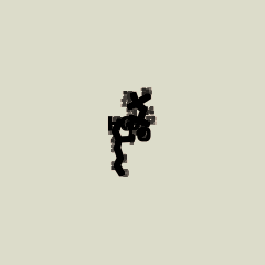 CCCCC(CC)CP(=O)(O)C(C)(C)CC(C)(C)C